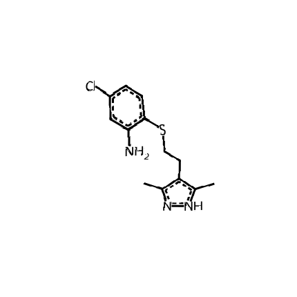 Cc1n[nH]c(C)c1CCSc1ccc(Cl)cc1N